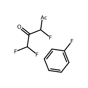 CC(=O)C(F)C(=O)C(F)F.Fc1ccccc1